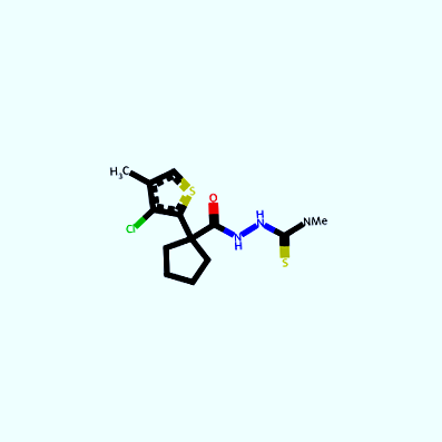 CNC(=S)NNC(=O)C1(c2scc(C)c2Cl)CCCC1